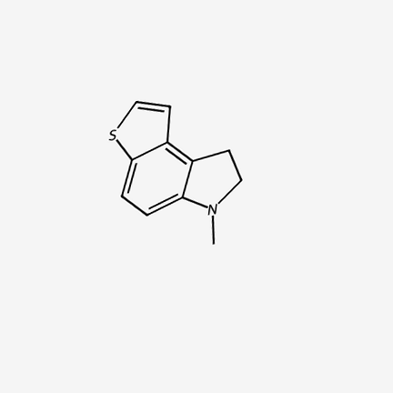 CN1CCc2c1ccc1sccc21